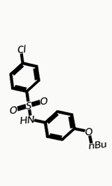 CCCCOc1ccc(NS(=O)(=O)c2ccc(Cl)cc2)cc1